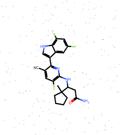 CC1(C(CC(N)=O)Nc2nc(-c3c[nH]c4c(F)cc(F)cc34)c(C#N)cc2F)CCCC1